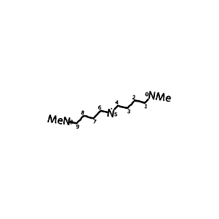 CNCCCC[N]CCCCNC